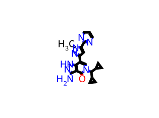 Cn1nc(-c2cn(C(C3CC3)C3CC3)c(=O)c3c(N)n[nH]c23)cc1-c1ncccn1